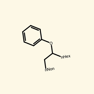 CCCCCCCCCCC(CCCCCC)Oc1ccccc1